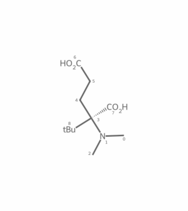 CN(C)[C@@](CCC(=O)O)(C(=O)O)C(C)(C)C